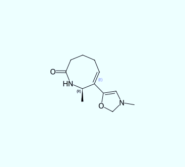 C[C@H]1NC(=O)CCC/C=C\1C1=CN(C)CO1